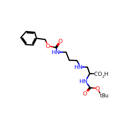 CC(C)(C)OC(=O)NC(CNCCCNC(=O)OCc1ccccc1)C(=O)O